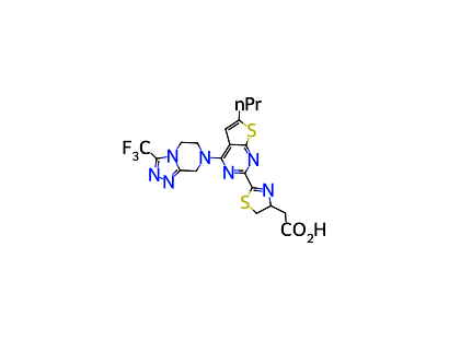 CCCc1cc2c(N3CCn4c(nnc4C(F)(F)F)C3)nc(C3=NC(CC(=O)O)CS3)nc2s1